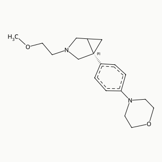 COCCN1CC2C[C@@]2(c2ccc(N3CCOCC3)cc2)C1